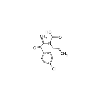 C=CCN(C(=C)C(=O)c1ccc(Cl)cc1)C(=O)O